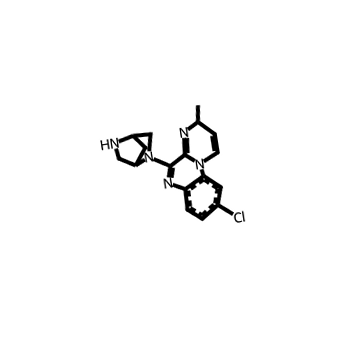 CC1C=CN2C(=N1)C(N1CC3CC1CN3)=Nc1ccc(Cl)cc12